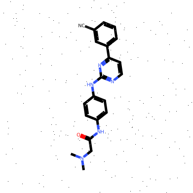 CN(C)CC(=O)Nc1ccc(Nc2nccc(-c3cccc(C#N)c3)n2)cc1